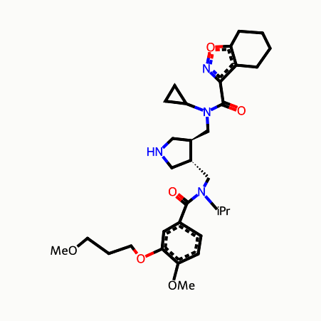 COCCCOc1cc(C(=O)N(C[C@@H]2CNC[C@H]2CN(C(=O)c2noc3c2CCCC3)C2CC2)C(C)C)ccc1OC